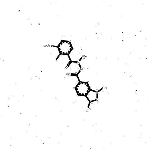 COc1cccc(C(=O)N(NC(=O)c2ccc3c(c2)B(O)OC3C#N)C(C)(C)C)c1C